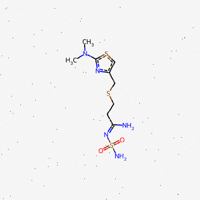 CN(C)c1nc(CSCC/C(N)=N/S(N)(=O)=O)cs1